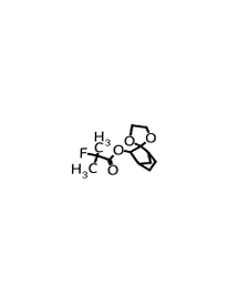 CC(C)(F)C(=O)OC1C2CCC(C2)C12OCCO2